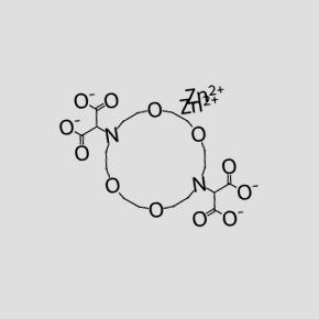 O=C([O-])C(C(=O)[O-])N1CCOCCOCCN(C(C(=O)[O-])C(=O)[O-])CCOCCOCC1.[Zn+2].[Zn+2]